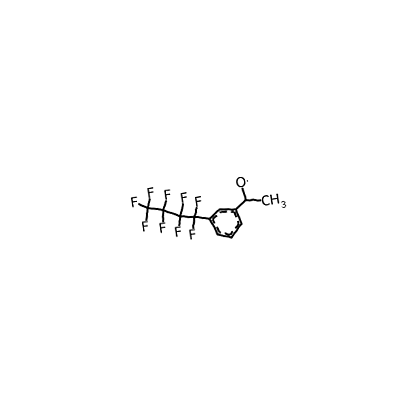 CC([O])c1cccc(C(F)(F)C(F)(F)C(F)(F)C(F)(F)F)c1